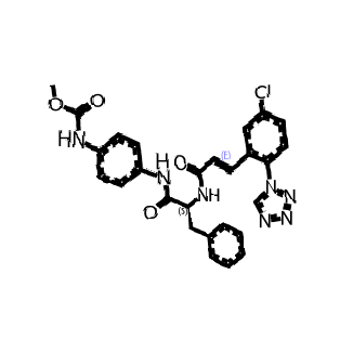 COC(=O)Nc1ccc(NC(=O)[C@H](Cc2ccccc2)NC(=O)/C=C/c2cc(Cl)ccc2-n2cnnn2)cc1